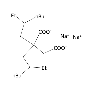 CCCCC(CC)CC(CC(=O)[O-])(CC(CC)CCCC)C(=O)[O-].[Na+].[Na+]